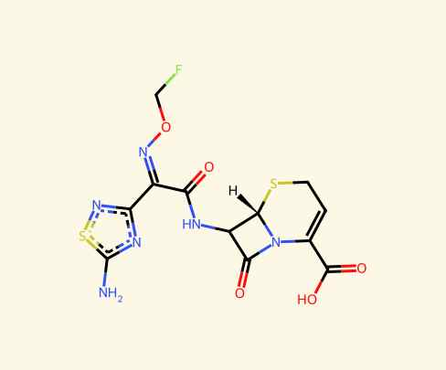 Nc1nc(/C(=N/OCF)C(=O)NC2C(=O)N3C(C(=O)O)=CCS[C@@H]23)ns1